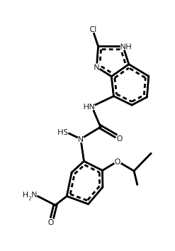 CC(C)Oc1ccc(C(N)=O)cc1N(S)C(=O)Nc1cccc2[nH]c(Cl)nc12